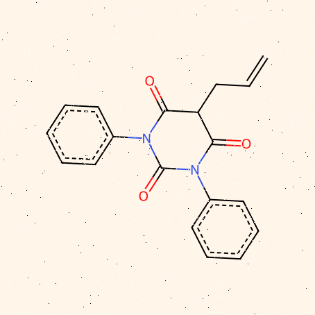 C=CCC1C(=O)N(c2ccccc2)C(=O)N(c2ccccc2)C1=O